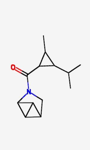 CC(C)C1C(C)C1C(=O)N1CC2C3C2C31